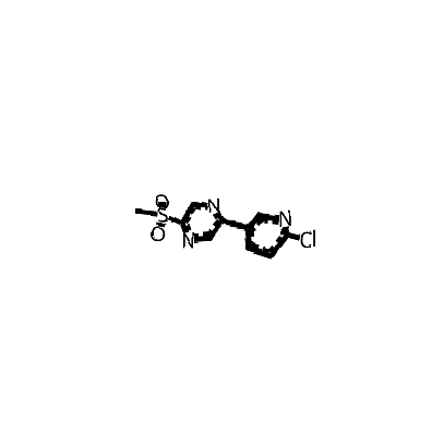 CS(=O)(=O)c1cnc(-c2ccc(Cl)nc2)cn1